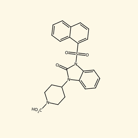 O=C(O)N1CCC(n2c(=O)n(S(=O)(=O)c3cccc4ccccc34)c3ccccc32)CC1